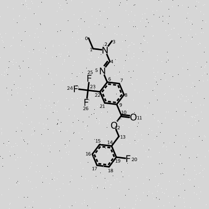 CCN(C)/C=N/c1ccc(C(=O)OCc2ccccc2F)cc1C(F)(F)F